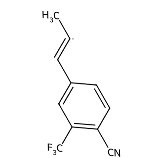 C[C]=Cc1ccc(C#N)c(C(F)(F)F)c1